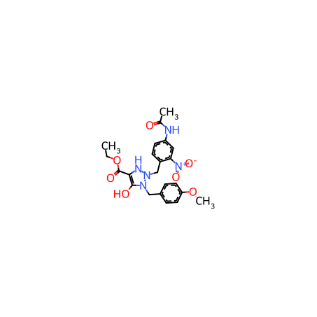 CCOC(=O)C1=C(O)N(Cc2ccc(OC)cc2)N(Cc2ccc(NC(C)=O)cc2[N+](=O)[O-])N1